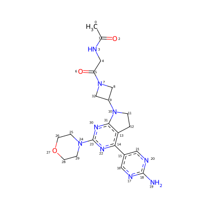 CC(=O)NCC(=O)N1CC(N2CCc3c(-c4cnc(N)nc4)nc(N4CCOCC4)nc32)C1